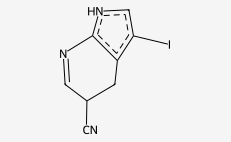 N#CC1C=Nc2[nH]cc(I)c2C1